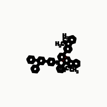 CC1(C)c2ccccc2-c2ccc(-c3ccc(N(c4ccc(-c5ccc(-c6ccccc6)c(-c6ccccc6)c5)cc4)c4ccccc4-c4cccc5c4C(C)(C)c4ccccc4-5)cc3)cc21